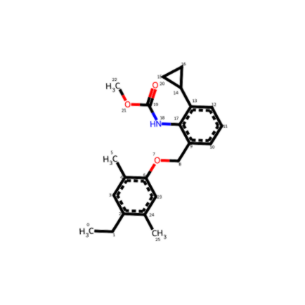 CCc1cc(C)c(OCc2cccc(C3CC3)c2NC(=O)OC)cc1C